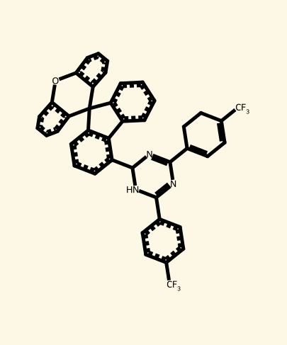 FC(F)(F)C1=CC=C(C2=NC(c3cccc4c3-c3ccccc3C43c4ccccc4Oc4ccccc43)NC(c3ccc(C(F)(F)F)cc3)=N2)CC1